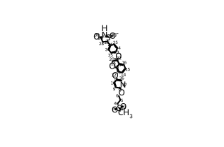 CS(=O)(=O)CCCOc1ccc(Oc2cccc3c2OC[C@H]3Oc2ccc(C3CC(=O)N[S+]3[O-])cc2)cn1